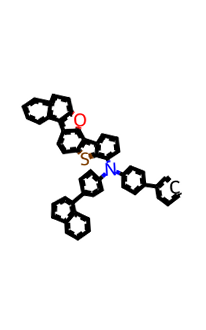 c1ccc(-c2ccc(N(c3ccc(-c4cccc5ccccc45)cc3)c3cccc4c3sc3ccc5c(oc6ccc7ccccc7c65)c34)cc2)cc1